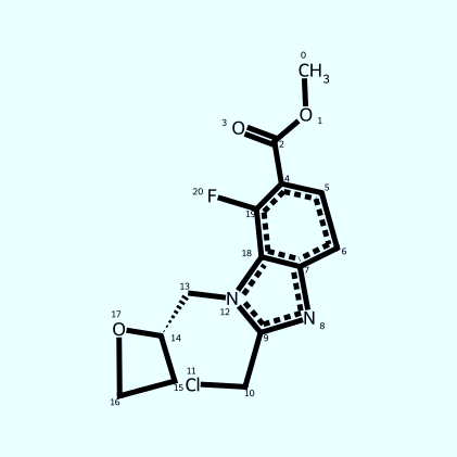 COC(=O)c1ccc2nc(CCl)n(C[C@@H]3CCO3)c2c1F